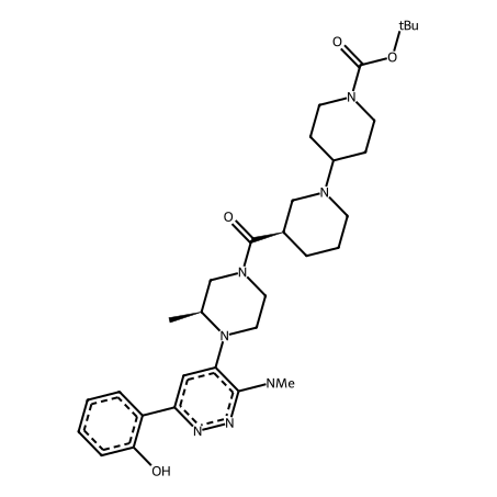 CNc1nnc(-c2ccccc2O)cc1N1CCN(C(=O)[C@@H]2CCCN(C3CCN(C(=O)OC(C)(C)C)CC3)C2)C[C@@H]1C